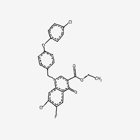 CCOC(=O)c1cn(Cc2ccc(Oc3ccc(Cl)cc3)cc2)c2cc(Cl)c(F)cc2c1=O